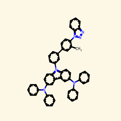 Cc1cc(-c2cccc(-n3c4ccc(N(c5ccccc5)c5ccccc5)cc4c4cc(N(c5ccccc5)c5ccccc5)ccc43)c2)ccc1-n1nnc2ccccc21